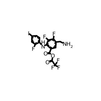 NCc1cc(C(=O)OC(=O)C(F)(F)F)c(Nc2ccc(I)cc2F)c(F)c1F